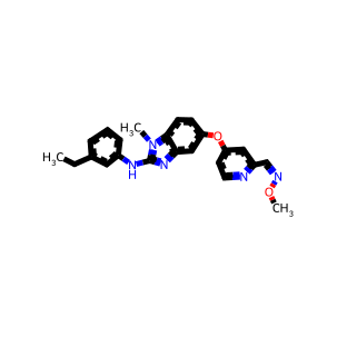 CCc1cccc(Nc2nc3cc(Oc4ccnc(/C=N\OC)c4)ccc3n2C)c1